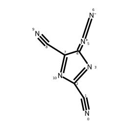 N#CC1=NC(=[N+]=[N-])C(C#N)=N1